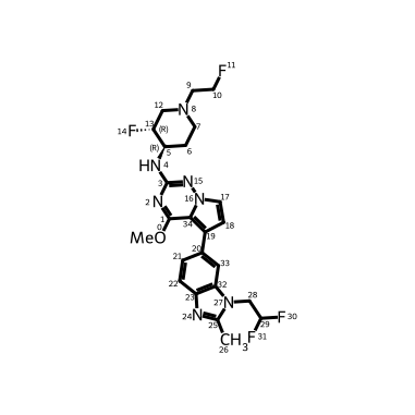 COc1nc(N[C@@H]2CCN(CCF)C[C@H]2F)nn2ccc(-c3ccc4nc(C)n(CC(F)F)c4c3)c12